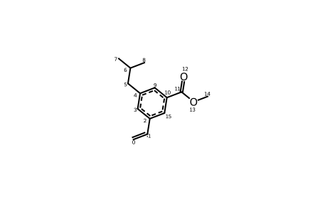 C=[C]c1cc(CC(C)C)cc(C(=O)OC)c1